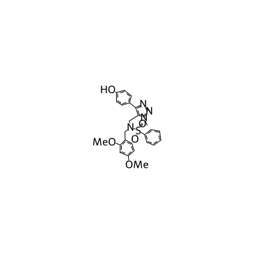 COc1ccc(CN(Cc2c(-c3ccc(O)cc3)nnn2C)S(=O)(=O)c2ccccc2)c(OC)c1